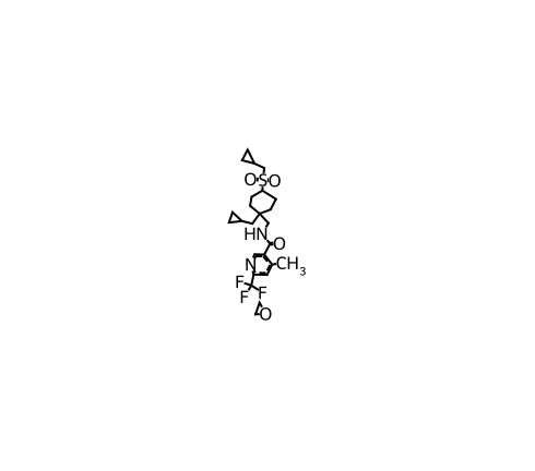 C1CO1.Cc1cc(C(F)(F)F)ncc1C(=O)NCC1(CC2CC2)CCC(S(=O)(=O)CC2CC2)CC1